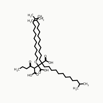 CCCC(=O)C(C(=O)O)C(OCCCCCCCCCCC(C)C)(C(=O)O)C(CCCCCCCCCCC(C)C)(CCCCCCCCCCC(C)C)C(=O)O